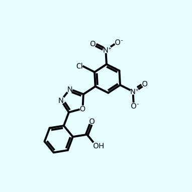 O=C(O)c1ccccc1-c1nnc(-c2cc([N+](=O)[O-])cc([N+](=O)[O-])c2Cl)o1